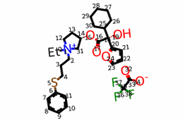 CC[N+]1(CCCSc2ccccc2)CC[C@H](OC(=O)[C@](O)(c2ccco2)C2CCCCC2)C1.O=C([O-])C(F)(F)F